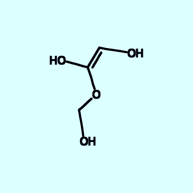 OC=C(O)OCO